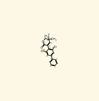 CCc1cc(-c2ccccc2)cc(Cl)c1C1=CC(C)(C)COC1=O